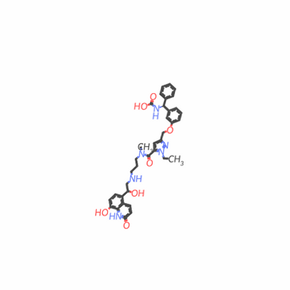 CCn1nc(COc2cccc([C@@H](NC(=O)O)c3ccccc3)c2)cc1C(=O)N(C)CCCNCC(O)c1ccc(O)c2[nH]c(=O)ccc12